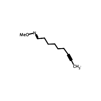 [CH2]C#CCCCCCC=NOC